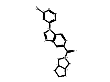 O=C(c1ccc2c(c1)ncn2-c1cccc(Cl)c1)N1CC2CCCC2C1